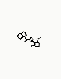 COc1cccc(F)c1-c1nc(C(=O)N2CCCC3CCCC=C32)cs1